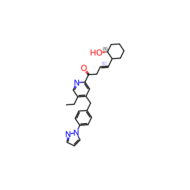 CCc1cnc(C(=O)C/C=C/C2CCCC[C@@H]2O)cc1Cc1ccc(-n2cccn2)cc1